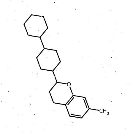 Cc1ccc2c(c1)OC(C1CCC(C3CCCCC3)CC1)CC2